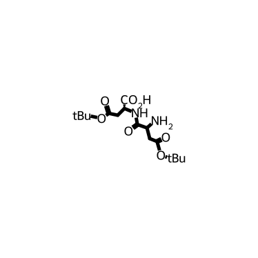 CC(C)(C)OC(=O)CC(N)C(=O)N[C@@H](CC(=O)OC(C)(C)C)C(=O)O